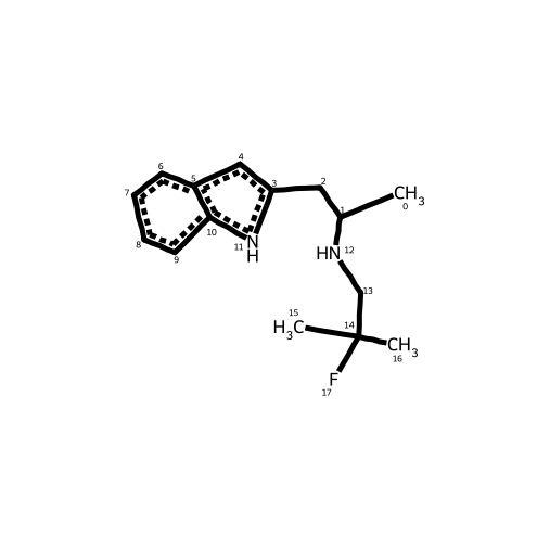 CC(Cc1cc2ccccc2[nH]1)NCC(C)(C)F